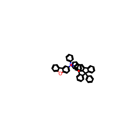 c1ccc(N(c2cccc(-c3ccccc3C3(c4ccccc4)c4ccccc4-c4cc5ccccc5cc43)c2)c2ccc3oc4ccccc4c3c2)cc1